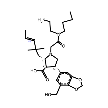 C/C=C/C(C)(C)C[C@H]1[C@H](C(=O)O)[C@@H](c2cc(CO)c3c(c2)OCO3)CN1CC(=O)N(CCN)CCCC